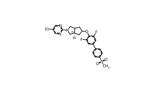 CCc1cnc(N2CC3CC(Oc4c(F)cc(-c5ccc(S(C)(=O)=O)cc5)cc4F)C[C@H]3C2)nc1